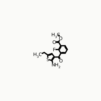 CCc1cc(C(=O)c2cccc(C(=O)OC)c2F)c(N)s1